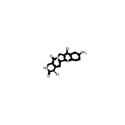 CCc1c2c(nc3ccc(N)cc13)-c1cc3c(c(=O)n1C2)CNC(=O)[C@@H]3CC